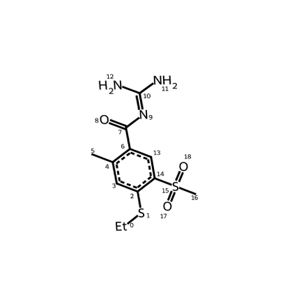 CCSc1cc(C)c(C(=O)N=C(N)N)cc1S(C)(=O)=O